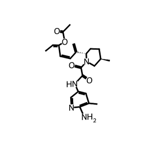 C=C(/C=C\C(=C/C)OC(C)=O)[C@@H]1CC[C@@H](C)CN1C(=O)C(=O)Nc1cnc(N)c(C)c1